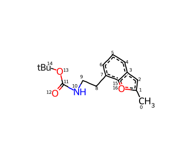 Cc1cc2cccc(CCNC(=O)OC(C)(C)C)c2o1